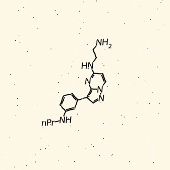 CCCNc1cccc(-c2cnn3ccc(NCCN)nc23)c1